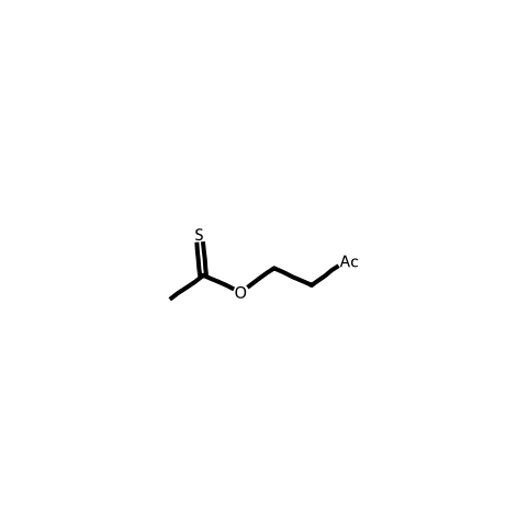 CC(=O)CCOC(C)=S